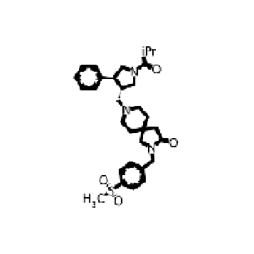 CC(C)C(=O)N1C[C@H](CN2CCC3(CC2)CC(=O)N(Cc2ccc(S(C)(=O)=O)cc2)C3)[C@@H](c2ccccc2)C1